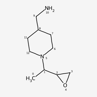 CC(C1CO1)N1CCC(CN)CC1